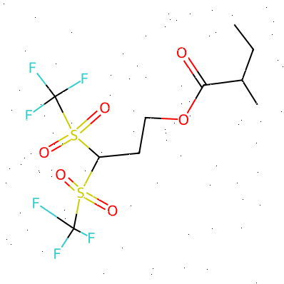 CCC(C)C(=O)OCCC(S(=O)(=O)C(F)(F)F)S(=O)(=O)C(F)(F)F